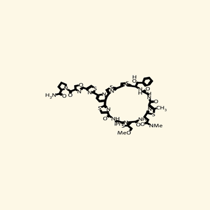 CNC(=O)CC1NC(=O)c2nc(sc2COC)C(C(C)C)NC(=O)c2csc(n2)-c2ccc(-c3nc(C4=NC(C(=O)N5CCCC5C(N)=O)CO4)cs3)nc2-c2csc(n2)-c2csc(n2)C(C(O)c2ccccc2)NC(=O)CNC(=O)c2nc1sc2C